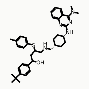 Cc1ccc(SC(CNC[C@H]2CC[C@@H](Nc3nc(N(C)C)c4ccccc4n3)CC2)CC(O)c2ccc(C(C)(C)C)cc2)cc1